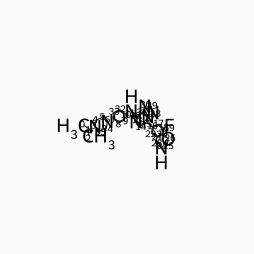 CC(C)N1CCN(c2ccc(Nc3ncc(-c4cc(F)c5c(c4)CNCO5)n4ncnc34)cc2)CC1